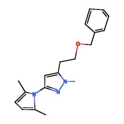 Cc1ccc(C)n1-c1cc(CCOCc2ccccc2)n(C)n1